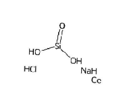 Cl.O=[Si](O)O.[Ce].[NaH]